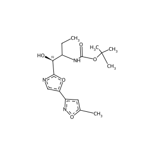 CCC(NC(=O)OC(C)(C)C)[C@H](O)c1ncc(-c2cc(C)on2)o1